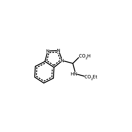 CCOC(=O)NC(C(=O)O)n1nnc2ccccc21